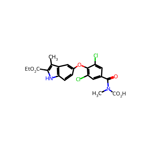 CCOC(=O)c1[nH]c2ccc(Oc3c(Cl)cc(C(=O)N(C)C(=O)O)cc3Cl)cc2c1C